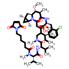 CC[C@H](C)C(CN(C)C(=O)[C@@H](NC(=O)[C@H](C(C)C)N(C)C(=O)CCCCCN1C(=O)C=CC1=O)C(C)C)C(CC(=O)N1[C@H]2C[C@H]2C[C@H]1[C@H](OC)[C@@H](C)C(=O)N[C@@H](Cc1ccccc1Cl)C(=O)O)OC